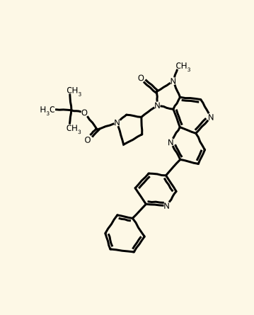 Cn1c(=O)n(C2CCN(C(=O)OC(C)(C)C)C2)c2c3nc(-c4ccc(-c5ccccc5)nc4)ccc3ncc21